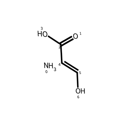 N.O=C(O)C=CO